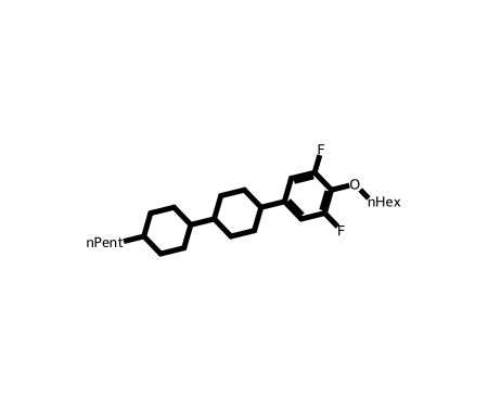 CCCCCCOc1c(F)cc(C2CCC(C3CCC(CCCCC)CC3)CC2)cc1F